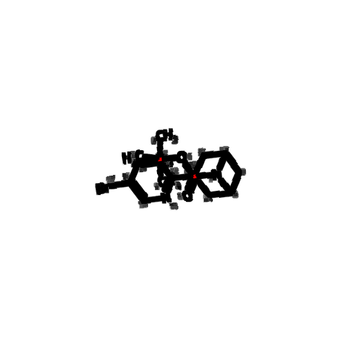 CC(C)(C)OC(=O)N1C2CC1CN(c1ncc(Br)cn1)C2